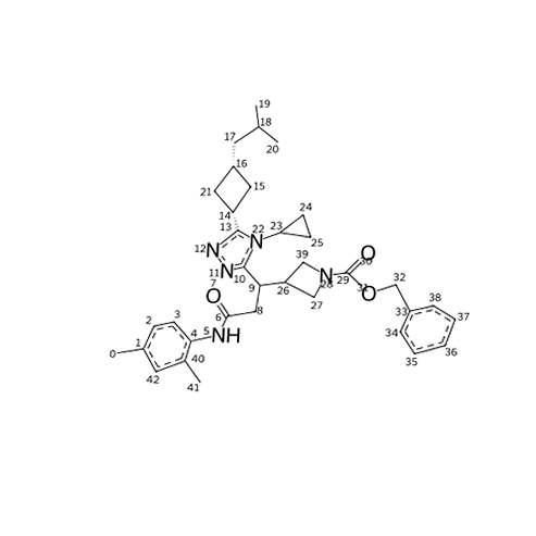 Cc1ccc(NC(=O)CC(c2nnc([C@H]3C[C@@H](CC(C)C)C3)n2C2CC2)C2CN(C(=O)OCc3ccccc3)C2)c(C)c1